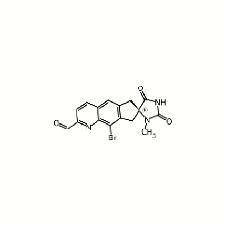 CN1C(=O)NC(=O)[C@]12Cc1cc3ccc(C=O)nc3c(Br)c1C2